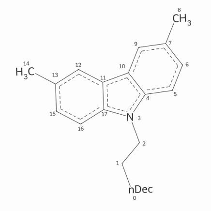 CCCCCCCCCCCCn1c2ccc(C)cc2c2cc(C)ccc21